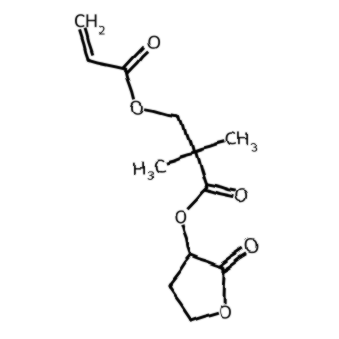 C=CC(=O)OCC(C)(C)C(=O)OC1CCOC1=O